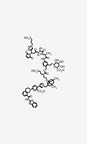 CC(C)[C@H](NC(=O)CC(c1cn(CCCS(=O)(=O)O)nn1)N1C(=O)C=CC1=O)C(=O)N[C@@H](C)C(=O)Nc1ccc(COC(=O)N(CCOC23CC4(C)CC(C)(CC(Cn5cc(-c6ccc(N7CCc8cccc(C(=O)Nc9nc%10ccccc%10s9)c8C7)nc6C(=O)O)cn5)(C4)C2)C3)CCS(=O)(=O)O)c(CC[C@@H]2O[C@H](C(=O)O)[C@@H](O)[C@H](O)[C@H]2O)c1